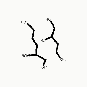 CCCC(O)CO.CCCCC(O)CO